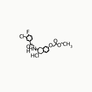 CCOC(=O)COc1ccc2c(c1)C[C@@H](NC[C@@H](O)c1ccc(F)c(Cl)c1)CC2.Cl